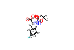 CC(C)(C)OC(=O)N[C@H](Cc1cccc(F)c1)C(=O)O